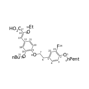 CCCCCOc1ccc(CCOc2ccc(C=C(OCC)C(=O)O)cc2OCCCC)cc1F